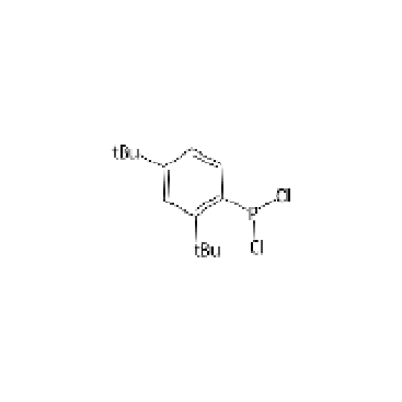 CC(C)(C)c1ccc(P(Cl)Cl)c(C(C)(C)C)c1